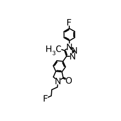 Cc1c(-c2ccc3c(c2)C(=O)N(CCCF)C3)nnn1-c1ccc(F)cc1